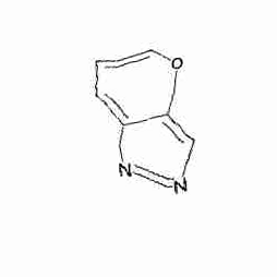 c1coc2cnnc-2c1